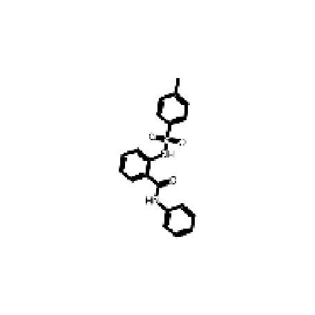 Cc1ccc(S(=O)(=O)Nc2ccccc2C(=O)Nc2ccccc2)cc1